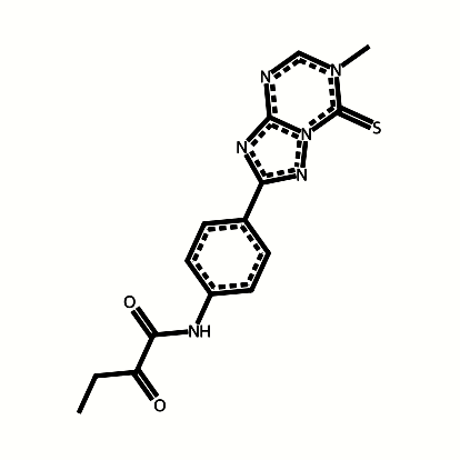 CCC(=O)C(=O)Nc1ccc(-c2nc3ncn(C)c(=S)n3n2)cc1